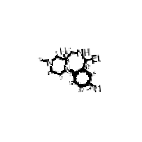 CC[C@@H]1NC[C@H]2CN(C)CCN2c2ccc(Cl)cc21